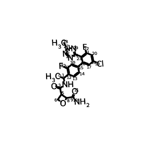 CC(NC(=O)C1COC1C(N)=O)c1ccc(-c2cc(Cl)cc(F)c2-c2nnn(C)n2)cc1F